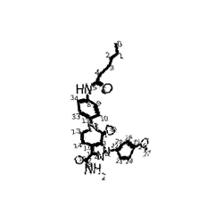 CCCCCC(=O)Nc1ccc(N2CCc3c(C(N)=O)nn(-c4ccc(OC)cc4)c3C2=O)cc1